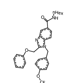 CCCCCCNC(=O)c1ccc2c(c1)nc(COc1ccccc1)n2Cc1ccc(OC(F)(F)F)cc1